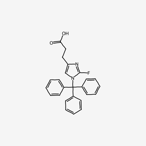 O=C(O)CCc1cn(C(c2ccccc2)(c2ccccc2)c2ccccc2)c(F)n1